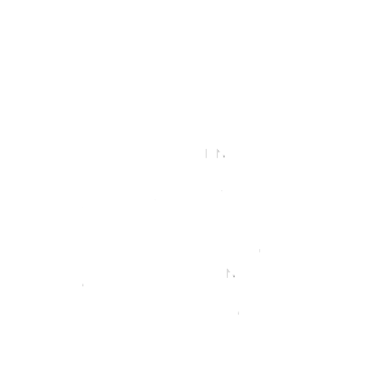 Cc1cc(SNc2ccccc2)c([N+](=O)[O-])cc1Cl